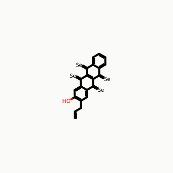 C=CCc1cc2c(=[Se])c3c(=[Se])c4ccccc4c(=[Se])c=3c(=[Se])c2cc1O